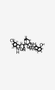 COc1cccc2[nH]c(C(=O)NC(CC3CC3)C(=O)NC(C#N)CC3C(=O)Nc4ccc(Cl)cc43)cc12